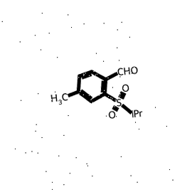 Cc1ccc(C=O)c(S(=O)(=O)C(C)C)c1